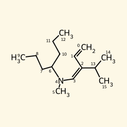 C=C/C(=C\N(C)C(CCC)CCC)C(C)C